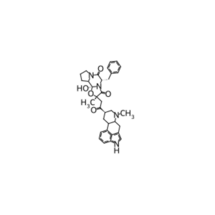 CN1C[C@H](C(=O)C[C@]2(C)O[C@@]3(O)C4CCCN4C(=O)[C@H](Cc4ccccc4)N3C2=O)CC2c3cccc4[nH]cc(c34)CC21